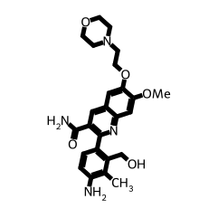 COc1cc2nc(-c3ccc(N)c(C)c3CO)c(C(N)=O)cc2cc1OCCN1CCOCC1